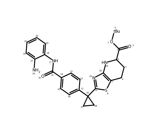 CC(C)(C)OC(=O)C1CCc2sc(C3(c4ccc(C(=O)Nc5ccccc5N)cc4)CC3)nc2N1